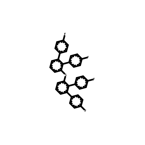 Fc1ccc(-c2cccc(Sc3cccc(-c4ccc(F)cc4)c3-c3ccc(F)cc3)c2-c2ccc(F)cc2)cc1